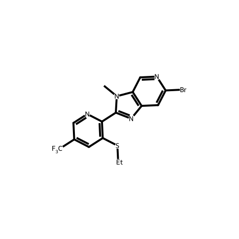 CCSc1cc(C(F)(F)F)cnc1-c1nc2cc(Br)ncc2n1C